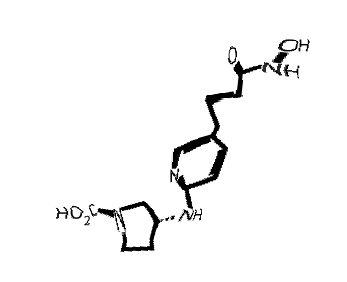 O=C(C=Cc1ccc(N[C@@H]2CCN(C(=O)O)C2)nc1)NO